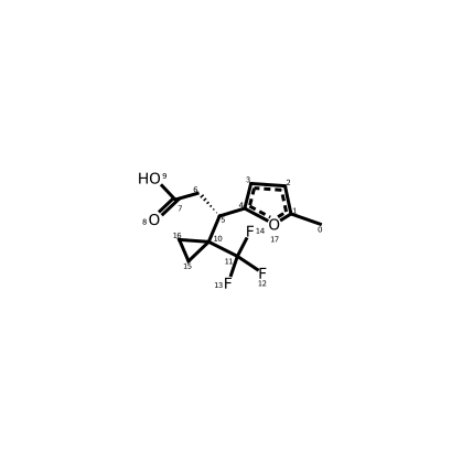 Cc1ccc([C@@H](CC(=O)O)C2(C(F)(F)F)CC2)o1